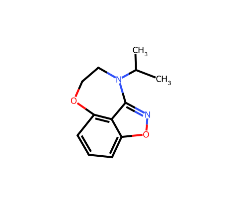 CC(C)N1CCOc2cccc3onc1c23